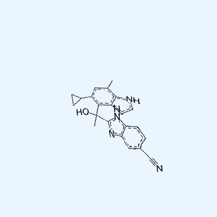 Cc1cc(C2CC2)c(C(C)(O)c2nc3cc(C#N)ccc3[nH]2)c2cc[nH]c12